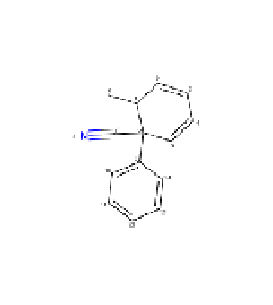 CC1C=CC=CC1(C#N)c1ccccc1